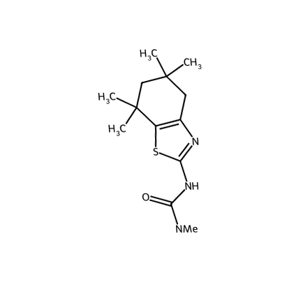 CNC(=O)Nc1nc2c(s1)C(C)(C)CC(C)(C)C2